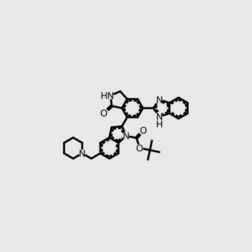 CC(C)(C)OC(=O)n1c(-c2cc(-c3nc4ccccc4[nH]3)cc3c2C(=O)NC3)cc2cc(CN3CCCCC3)ccc21